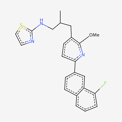 COc1nc(-c2ccc3cccc(F)c3c2)ccc1CC(C)CNc1nccs1